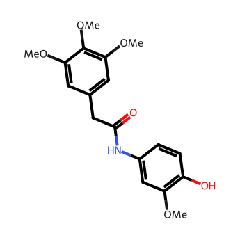 COc1cc(NC(=O)Cc2cc(OC)c(OC)c(OC)c2)ccc1O